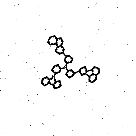 c1cc(-c2ccc3c(c2)-c2cccc4cccc-3c24)cc(N(c2cccc(-c3ccc4c(ccc5ccccc54)c3)c2)c2cccc(-n3c4ccccc4c4ccccc43)c2)c1